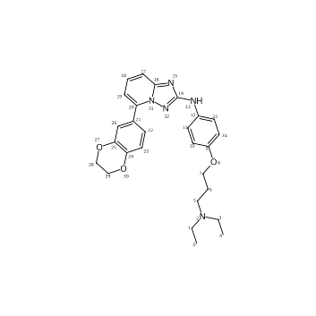 CCN(CC)CCCOc1ccc(Nc2nc3cccc(-c4ccc5c(c4)OCCO5)n3n2)cc1